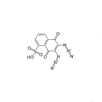 [N-]=[N+]=NC1=C(N=[N+]=[N-])C(=O)c2c(cccc2S(=O)(=O)O)C1=O